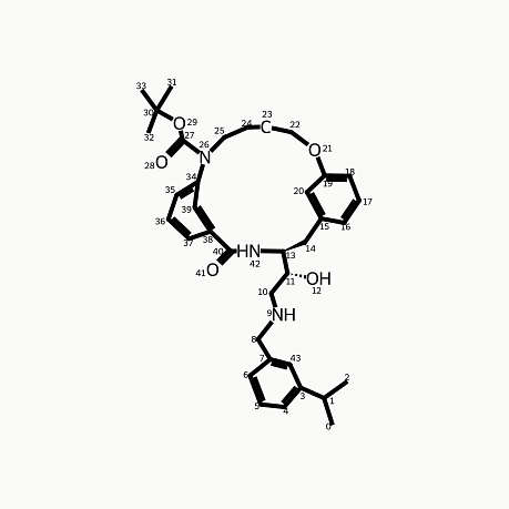 CC(C)c1cccc(CNC[C@@H](O)[C@@H]2Cc3cccc(c3)OCCCCN(C(=O)OC(C)(C)C)c3cccc(c3)C(=O)N2)c1